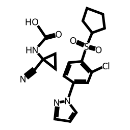 N#CC1(NC(=O)O)CC1.O=S(=O)(c1ccc(-n2cccn2)cc1Cl)C1CCCC1